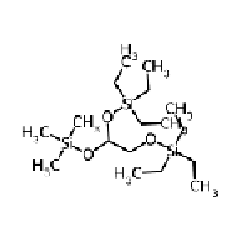 CC[Si](CC)(CC)OCC(O[Si](C)(C)C)O[Si](CC)(CC)CC